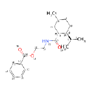 CC1CC[C@@H](C(C)C)[C@H](C(=O)NCCOC(=O)c2ccccc2)C1